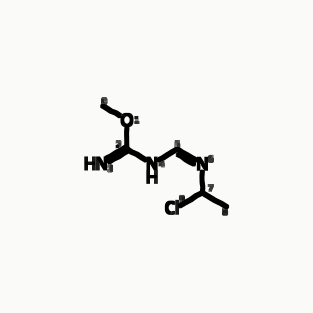 COC(=N)N/C=N\C(C)Cl